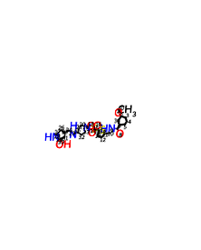 COc1cccc(C(=O)NCc2ccc(S(=O)(=O)ON3CCC(NCC4=CCNC(O)=C4)CC3)s2)c1